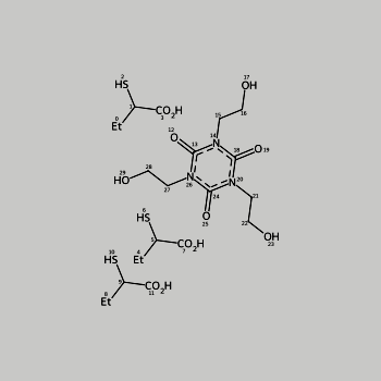 CCC(S)C(=O)O.CCC(S)C(=O)O.CCC(S)C(=O)O.O=c1n(CCO)c(=O)n(CCO)c(=O)n1CCO